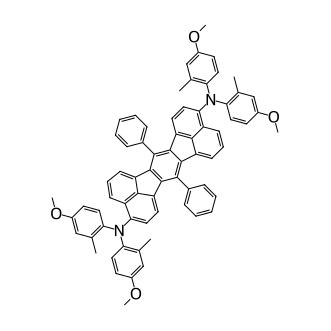 COc1ccc(N(c2ccc(OC)cc2C)c2ccc3c4c(-c5ccccc5)c5c6cccc7c(N(c8ccc(OC)cc8C)c8ccc(OC)cc8C)ccc(c5c(-c5ccccc5)c4c4cccc2c43)c76)c(C)c1